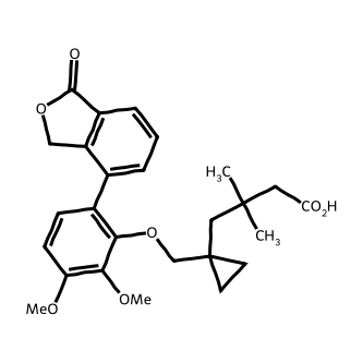 COc1ccc(-c2cccc3c2COC3=O)c(OCC2(CC(C)(C)CC(=O)O)CC2)c1OC